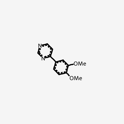 COc1ccc(-c2ccncn2)cc1OC